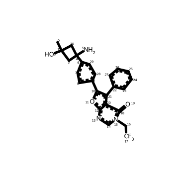 CC1(O)CC(N)(c2ccc(-c3oc4ncn(CC(F)(F)F)c(=O)c4c3-c3ccccc3)cc2)C1